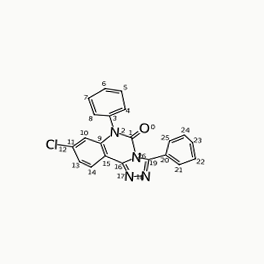 O=c1n(-c2ccccc2)c2cc(Cl)ccc2c2nnc(-c3ccccc3)n12